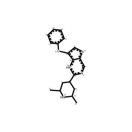 CC1CC(c2ncc3ncc(Oc4ccccc4)c-3[nH]2)CC(C)N1